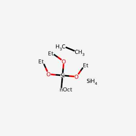 CC.CCCCCCCC[Si](OCC)(OCC)OCC.[SiH4]